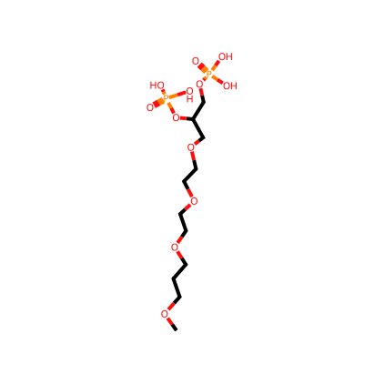 COCCCOCCOCCOCC(COP(=O)(O)O)OP(=O)(O)O